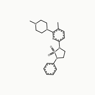 Cc1ccc(N2CCN(c3ccccc3)S2(=O)=O)nc1N1CCN(C)CC1